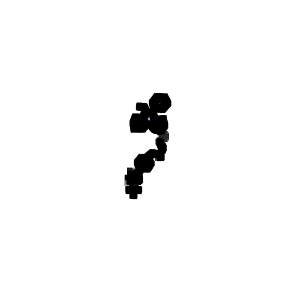 CC/C(=C(\c1ccccc1)c1ccc(OCCN(C)Cc2ccc(-c3cn(C(C)(C)C)nn3)cc2)cc1)c1ccccc1